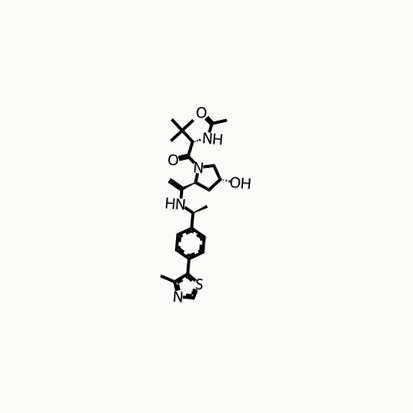 C=C(N[C@@H](C)c1ccc(-c2scnc2C)cc1)[C@@H]1C[C@@H](O)CN1C(=O)[C@@H](NC(C)=O)C(C)(C)C